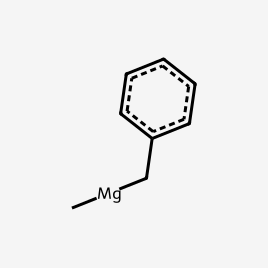 [CH3][Mg][CH2]c1ccccc1